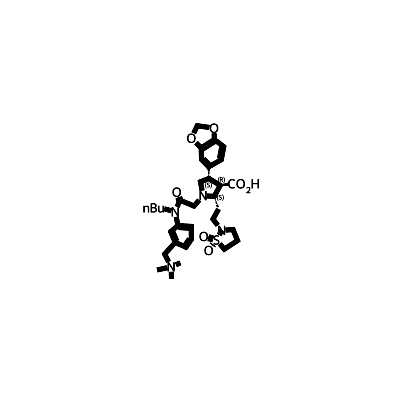 CCCCN(C(=O)CN1C[C@H](c2ccc3c(c2)OCO3)[C@@H](C(=O)O)[C@@H]1CCN1CCCS1(=O)=O)c1cccc(C[N+](C)(C)C)c1